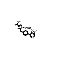 CCCCCn1nc(C(=O)CCC)nc1Cc1ccc(-c2cnccc2C(=O)O)cc1